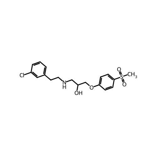 CS(=O)(=O)c1ccc(OCC(O)CNCCc2cccc(Cl)c2)cc1